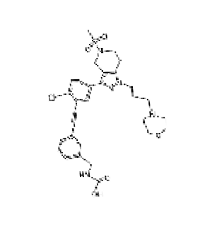 CS(=O)(=O)N1CCc2c(c(-c3ccc(Cl)c(C#Cc4cccc(CNC(=O)O)c4)c3)nn2CCCN2CCOCC2)C1